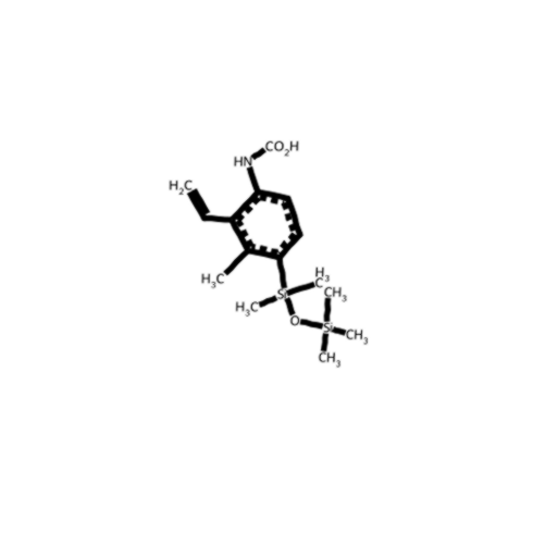 C=Cc1c(NC(=O)O)ccc([Si](C)(C)O[Si](C)(C)C)c1C